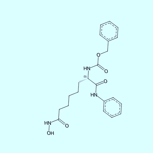 O=C(CCCCC[C@H](NC(=O)OCc1ccccc1)C(=O)Nc1ccccc1)NO